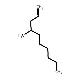 C=CC[C](C)CCCCCC